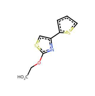 O=C(O)COc1nc(-c2cccs2)cs1